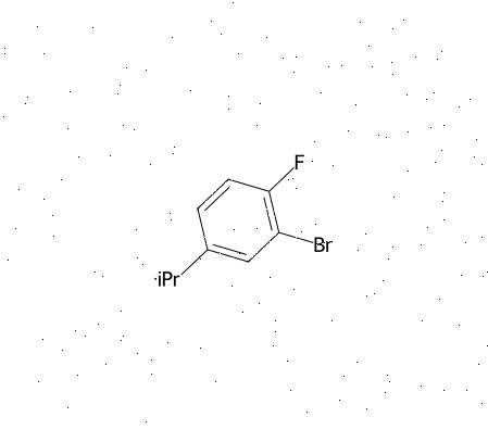 C[C](C)c1ccc(F)c(Br)c1